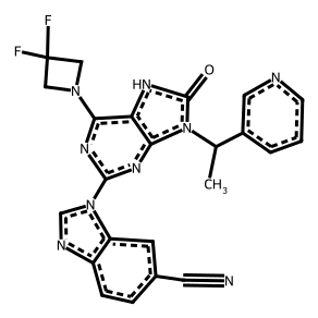 CC(c1cccnc1)n1c(=O)[nH]c2c(N3CC(F)(F)C3)nc(-n3cnc4ccc(C#N)cc43)nc21